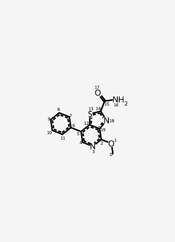 COc1ncc(-c2ccccc2)c2sc(C(N)=O)nc12